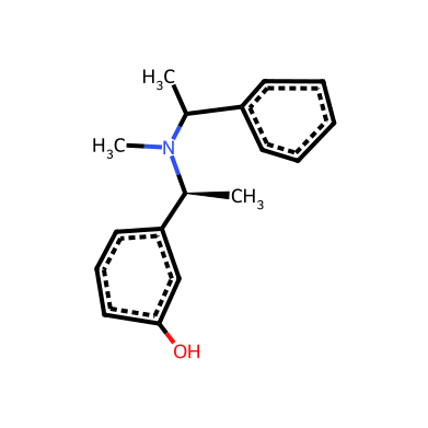 CC(c1ccccc1)N(C)[C@@H](C)c1cccc(O)c1